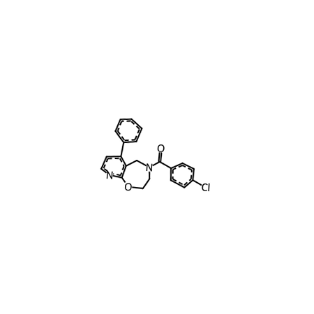 O=C(c1ccc(Cl)cc1)N1CCOc2nccc(-c3ccccc3)c2C1